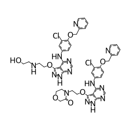 O=C1COCCN1CCOc1n[nH]c2ncnc(Nc3ccc(OCc4ccccn4)c(Cl)c3)c12.OCCNCCOc1n[nH]c2ncnc(Nc3ccc(OCc4ccccn4)c(Cl)c3)c12